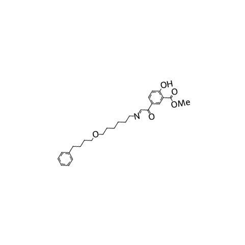 COC(=O)c1cc(C(=O)C=NCCCCCCOCCCCc2ccccc2)ccc1O